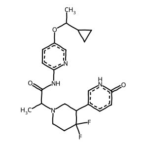 CC(Oc1ccc(NC(=O)C(C)N2CCC(F)(F)C(c3ccc(=O)[nH]c3)C2)nc1)C1CC1